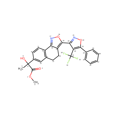 COC(=O)C(C)(O)c1ccc2c(c1)CCc1c-2noc1-c1noc(-c2ccccc2)c1C(F)(F)F